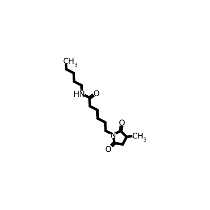 CCCCCNC(=O)CCCCCN1C(=O)CC(C)C1=O